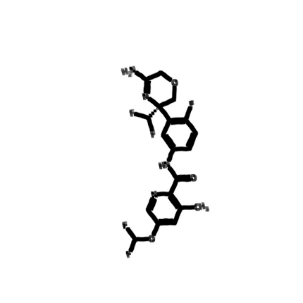 Cc1cc(OC(F)F)cnc1C(=O)Nc1ccc(F)c([C@]2(C(F)F)COCC(N)=N2)c1